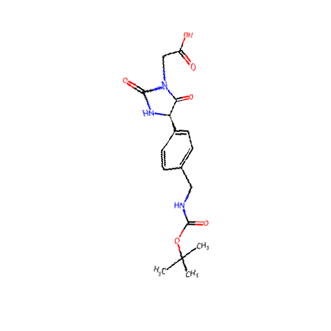 CC(C)(C)OC(=O)NCc1ccc([C@H]2NC(=O)N(CC(=O)O)C2=O)cc1